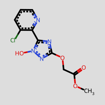 COC(=O)COc1nc(-c2ncccc2Cl)n(O)n1